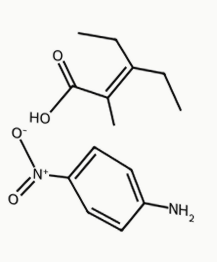 CCC(CC)=C(C)C(=O)O.Nc1ccc([N+](=O)[O-])cc1